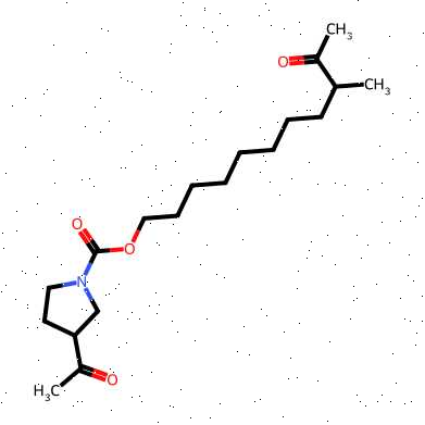 CC(=O)C(C)CCCCCCCCOC(=O)N1CCC(C(C)=O)C1